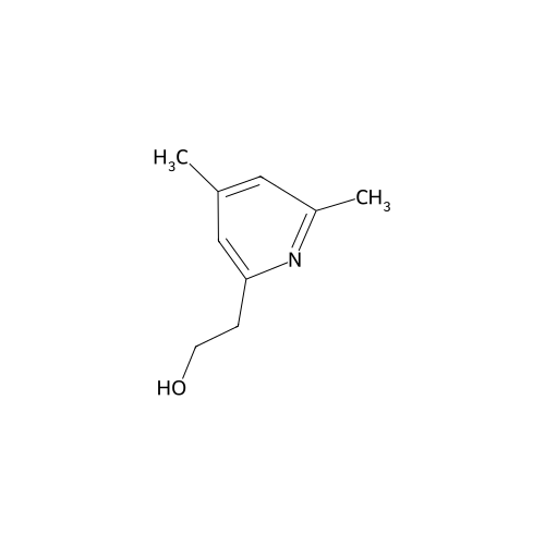 Cc1cc(C)nc(CCO)c1